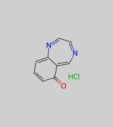 Cl.O=c1cccc2nccncc1-2